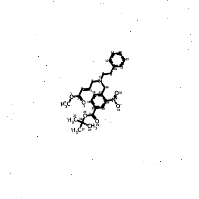 COC(=O)C=CCN(CCc1ccccc1)Cc1ccc(C(=O)OC(C)(C)C)cc1[N+](=O)[O-]